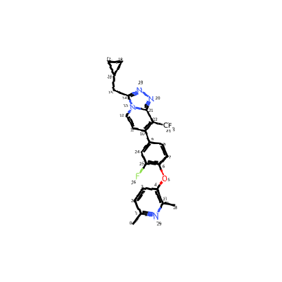 Cc1ccc(Oc2ccc(-c3ccn4c(CC5CC5)nnc4c3C(F)(F)F)cc2F)c(C)n1